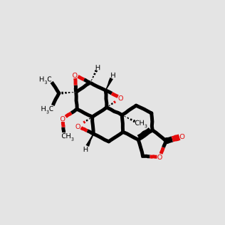 COC1[C@@]2(C(C)C)O[C@H]2[C@@H]2O[C@@]23[C@@]2(C)CCC4=C(COC4=O)C2C[C@@H]2O[C@@]123